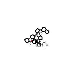 CC1(C)c2ccccc2-c2ccc(N(c3cccc4c3-c3ccccc3C4(C)C)c3cccc4c3oc3c5ccccc5ccc43)cc21